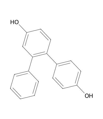 Oc1ccc(-c2ccc(O)cc2-c2ccccc2)cc1